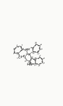 Cc1ccccc1NC1CCc2[nH]c3ccccc3c2C1c1ccccc1